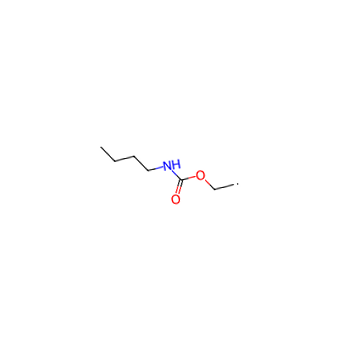 [CH2]COC(=O)NCCCC